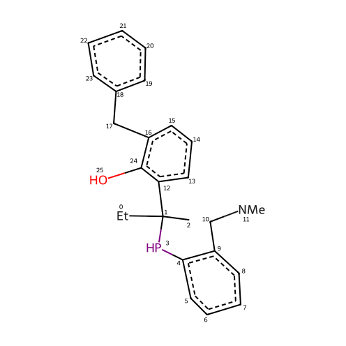 CCC(C)(Pc1ccccc1CNC)c1cccc(Cc2ccccc2)c1O